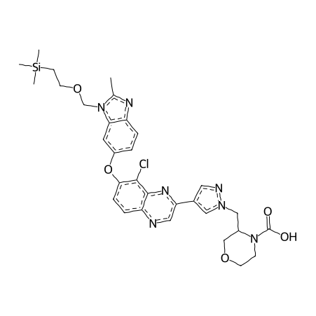 Cc1nc2ccc(Oc3ccc4ncc(-c5cnn(CC6COCCN6C(=O)O)c5)nc4c3Cl)cc2n1COCC[Si](C)(C)C